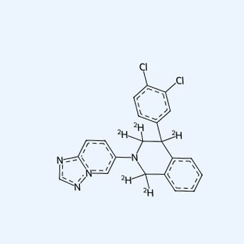 [2H]C1([2H])c2ccccc2C([2H])(c2ccc(Cl)c(Cl)c2)C([2H])([2H])N1c1ccc2ncnn2c1